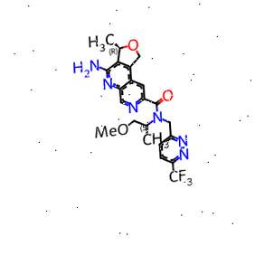 COC[C@H](C)N(Cc1ccc(C(F)(F)F)nn1)C(=O)c1cc2c3c(c(N)nc2cn1)[C@@H](C)OC3